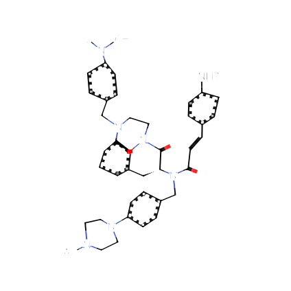 CC(=O)Nc1ccc(C=CC(=O)N(Cc2ccc(N3CCN(C(C)=O)CC3)cc2)[C@@H](Cc2ccccc2)C(=O)N2CCN(Cc3ccc(N(C)C)cc3)CC2)cc1